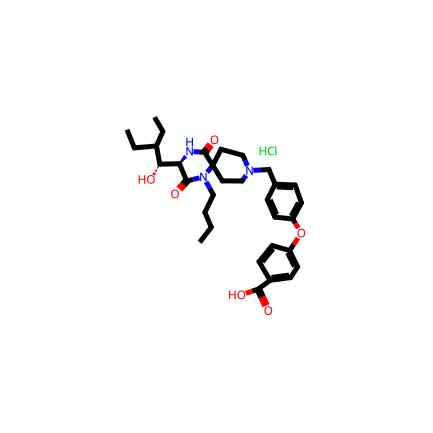 CCCCN1C(=O)[C@@H]([C@H](O)C(CC)CC)NC(=O)C12CCN(Cc1ccc(Oc3ccc(C(=O)O)cc3)cc1)CC2.Cl